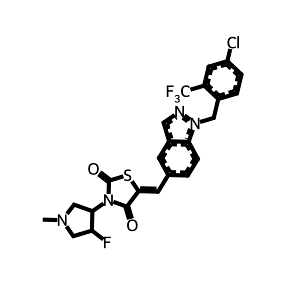 CN1CC(F)C(N2C(=O)SC(=Cc3ccc4c(cnn4Cc4ccc(Cl)cc4C(F)(F)F)c3)C2=O)C1